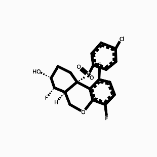 O=S(=O)(c1ccc(Cl)cc1)[C@@]12CC[C@@H](O)[C@@H](F)[C@@H]1COc1c(F)ccc(F)c12